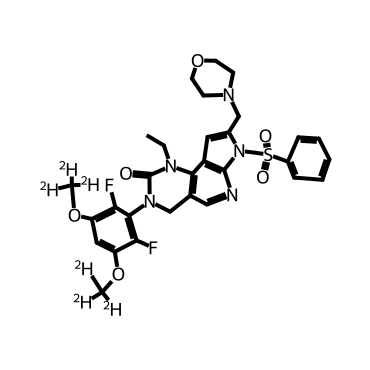 [2H]C([2H])([2H])Oc1cc(OC([2H])([2H])[2H])c(F)c(N2Cc3cnc4c(cc(CN5CCOCC5)n4S(=O)(=O)c4ccccc4)c3N(CC)C2=O)c1F